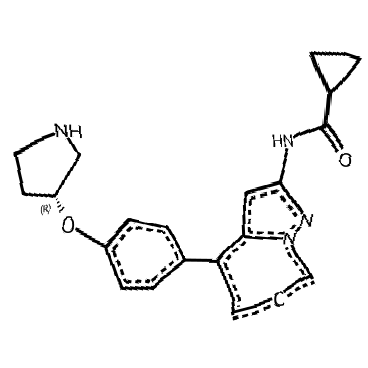 O=C(Nc1cc2c(-c3ccc(O[C@@H]4CCNC4)cc3)cccn2n1)C1CC1